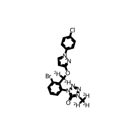 [2H]C([2H])(Oc1ccn(-c2ccc(Cl)cc2)n1)c1c(Br)cccc1-n1nnn(C([2H])([2H])[2H])c1=O